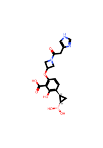 O=C(O)c1c(OC2CN(C(=O)Cc3c[nH]cn3)C2)ccc([C@H]2C[C@H]2B(O)O)c1O